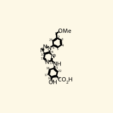 COCc1cccc(-n2nnc3cnc(Nc4ccc(O)c(C(=O)O)c4)nc32)c1